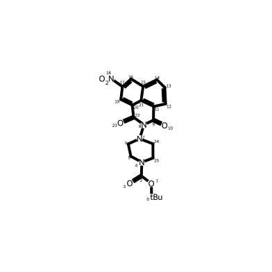 CC(C)(C)OC(=O)N1CCN(N2C(=O)c3cccc4cc([N+](=O)[O-])cc(c34)C2=O)CC1